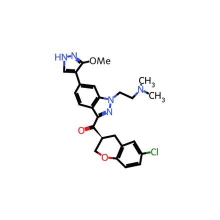 COc1n[nH]cc1-c1ccc2c(C(=O)[C@@H]3COc4ccc(Cl)cc4C3)nn(CCN(C)C)c2c1